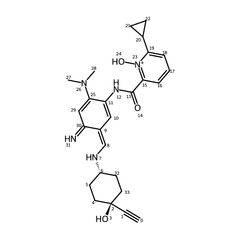 C#C[C@]1(O)CC[C@H](N/C=C2/C=C(NC(=O)c3cccc(C4CC4)[n+]3O)C(N(C)C)=CC2=N)CC1